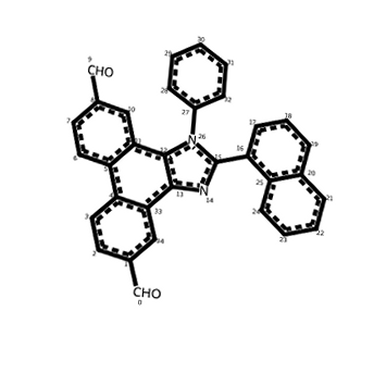 O=Cc1ccc2c3ccc(C=O)cc3c3c(nc(-c4cccc5ccccc45)n3-c3ccccc3)c2c1